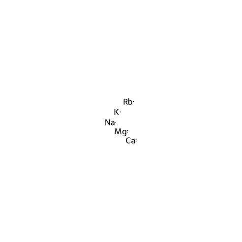 [Ca].[K].[Mg].[Na].[Rb]